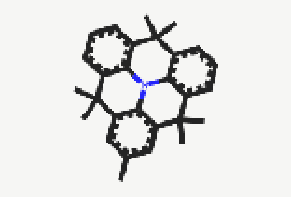 Cc1cc2c3c(c1)C(C)(C)c1cccc4c1N3c1c(cccc1C2(C)C)C4(C)C